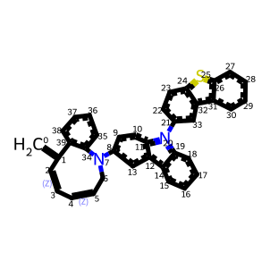 C=C1/C=C\C=C/CN(c2ccc3c(c2)c2ccccc2n3-c2ccc3sc4ccccc4c3c2)c2ccccc21